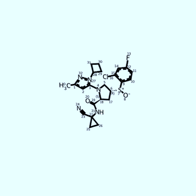 Cc1cc(N2C[C@H]([S+]([O-])c3ccc(F)cc3Cl)C[C@H]2C(=O)NC2(C#N)CC2)n(C2CCC2)n1